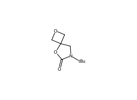 CC(C)(C)N1CC2(COC2)OC1=O